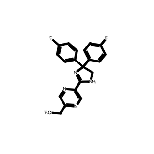 OCc1cnc(C2=NC(c3ccc(F)cc3)(c3ccc(F)cc3)CN2)cn1